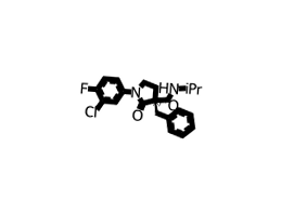 CC(C)NC(=O)[C@@]1(Cc2ccccc2)CCN(c2ccc(F)c(Cl)c2)C1=O